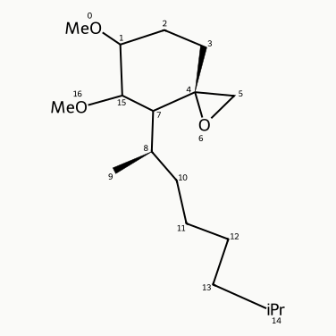 COC1CC[C@]2(CO2)C([C@H](C)CCCCC(C)C)C1OC